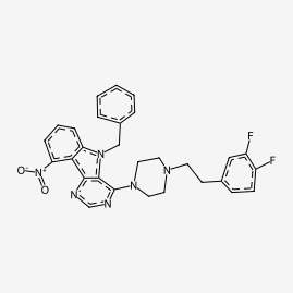 O=[N+]([O-])c1cccc2c1c1ncnc(N3CCN(CCc4ccc(F)c(F)c4)CC3)c1n2Cc1ccccc1